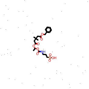 CC(OC(=O)CC(C)(C)CC(=O)OCc1ccccc1)OC(=O)NCCCS(=O)(=O)O